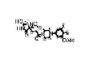 COc1cc(N2CCN(C(=O)[C@@H](CO)C[C@@]3(C)NC(O)NC3=O)CC2)cc(F)c1F